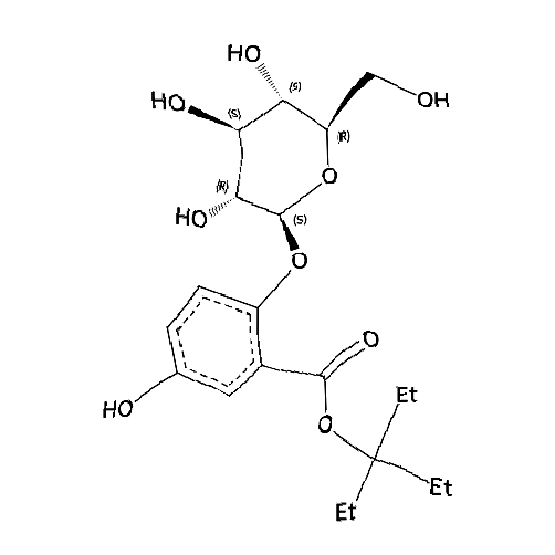 CCC(CC)(CC)OC(=O)c1cc(O)ccc1O[C@@H]1O[C@H](CO)[C@@H](O)[C@H](O)[C@H]1O